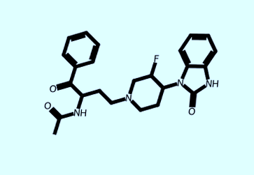 CC(=O)NC(CCN1CCC(n2c(=O)[nH]c3ccccc32)C(F)C1)C(=O)c1ccccc1